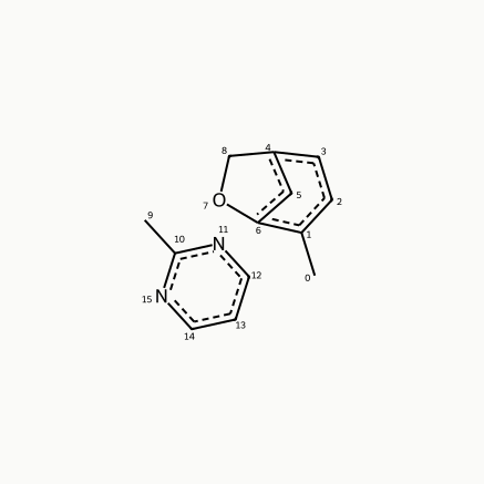 Cc1ccc2cc1OC2.Cc1ncccn1